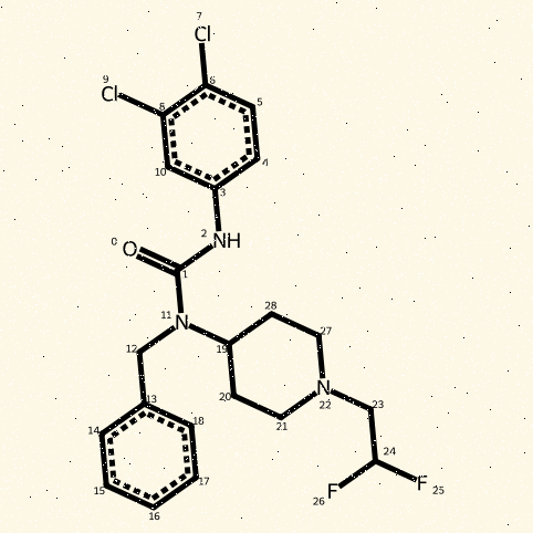 O=C(Nc1ccc(Cl)c(Cl)c1)N(Cc1ccccc1)C1CCN(CC(F)F)CC1